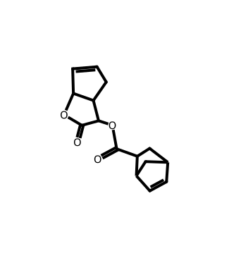 O=C(OC1C(=O)OC2C=CCC21)C1CC2C=CC1C2